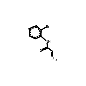 C=CC(=S)Nc1ccccc1Br